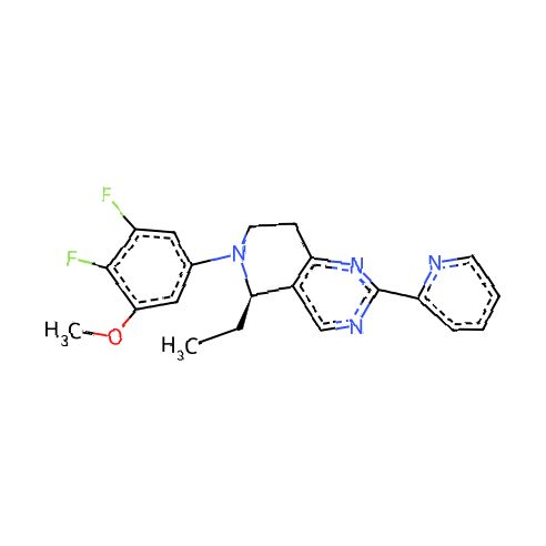 CC[C@@H]1c2cnc(-c3ccccn3)nc2CCN1c1cc(F)c(F)c(OC)c1